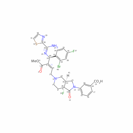 COC(=O)/C(=C\CN1CC[C@]2(F)C(=O)N(c3cccc(C(=O)O)c3)C[C@@H]2C1)[C@@H](/N=C(\N)c1nccs1)c1ccc(F)cc1Br